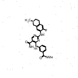 CNC(=O)c1cccc(Nc2nc(Nc3cc4c(cc3F)CCN(C)C4)ncc2C(N)=O)c1